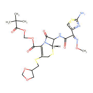 CO/N=C(\C(=O)NC1C(=O)N2C(C(=O)OCOC(=O)C(C)(C)C)=C(SCC3COCO3)CS[C@@H]12)c1csc(N)n1